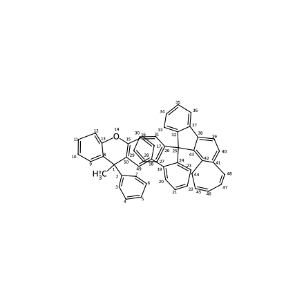 CC1(c2ccccc2)c2ccccc2Oc2ccc(-c3ccccc3C3(c4ccccc4)c4ccccc4-c4ccc5c(c43)CC=CC=C5)cc21